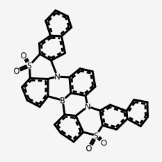 O=S1(=O)c2cc3ccccc3cc2N2c3cccc4c3B(c3cccc1c32)c1cccc2c1N4c1cc3ccccc3cc1S2(=O)=O